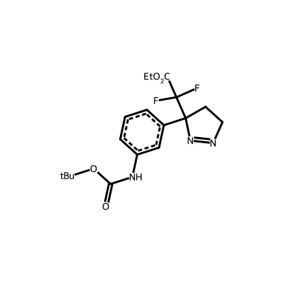 CCOC(=O)C(F)(F)C1(c2cccc(NC(=O)OC(C)(C)C)c2)CCN=N1